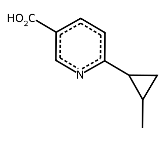 CC1CC1c1ccc(C(=O)O)cn1